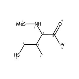 CSNC(C(=O)C(C)C)C(C)CS